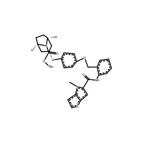 Cn1c(C(=O)Nc2ccccc2COc2ccc(O[C@@H]3C[C@H]4CC[C@@H](C3)N4C(=O)OC(C)(C)C)cc2)cc2sccc21